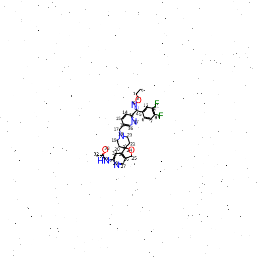 CCO/N=C(\c1ccc(F)c(F)c1)c1ccc(CN2CCC3(CC2)OCc2cnc(NC(C)=O)cc23)cn1